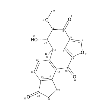 COC1C(=O)c2coc3c2C(C)(c2ccc4c(c2C3=O)CCC4=O)[C@@H]1O